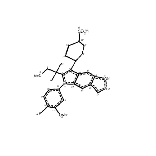 COCC(C)(C)c1c(C2CCC(C(=O)O)CC2)c2cc3[nH]ncc3cc2n1-c1ccc(F)c(OC)c1